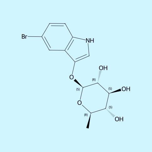 C[C@H]1O[C@@H](Oc2c[nH]c3ccc(Br)cc23)[C@H](O)[C@@H](O)[C@@H]1O